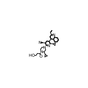 C=Cc1cc(-c2cc(C#N)c(N3CCN(C(=O)CCO)C(C4CC4)C3)nc2C2CC2)c2ccccc2n1